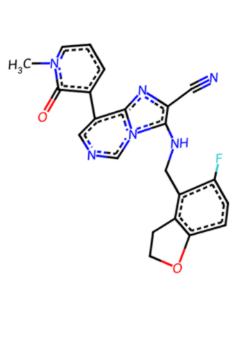 Cn1cccc(-c2cncn3c(NCc4c(F)ccc5c4CCO5)c(C#N)nc23)c1=O